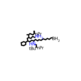 BCCCCCCCCCC(CCC(CC(CCCN)C(C)CCC(=C)CCC)C1CCCCC1)NCC(CCC)C(C)(C)C